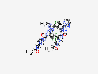 C=CC(=O)N1CC(N2CCN(C(=O)CNc3cc(Cl)c(Cl)cc3NC(=N/C=C\C)/N=C3\CC3c3cc(NCC(=O)N4CCN(C5CN(C(=O)C=C)C5)CC4)c(Nc4ncccn4)cc3Cl)CC2)C1